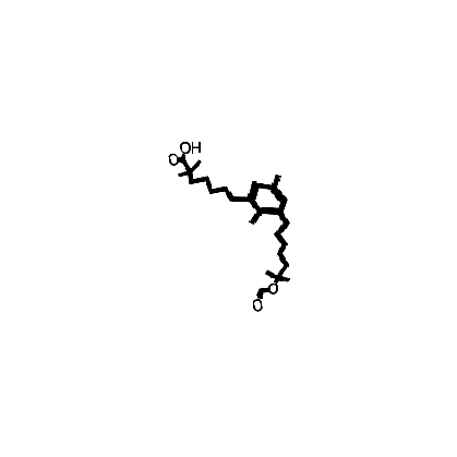 Cc1cc(CCCCCC(C)(C)OC=O)c(C)c(CCCCCC(C)(C)C(=O)O)c1